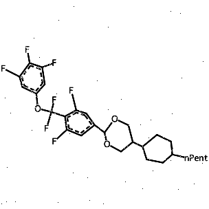 CCCCCC1CCC(C2COC(c3cc(F)c(C(F)(F)Oc4cc(F)c(F)c(F)c4)c(F)c3)OC2)CC1